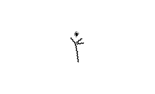 CCCCCCCCCCCCCC[P+](CCCCCC)(CCCCCC)CCCCCC.F[B-](F)(F)F